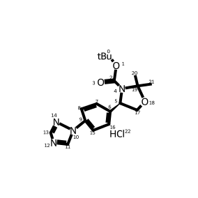 CC(C)(C)OC(=O)N1[C@H](c2ccc(-n3cncn3)cc2)COC1(C)C.Cl